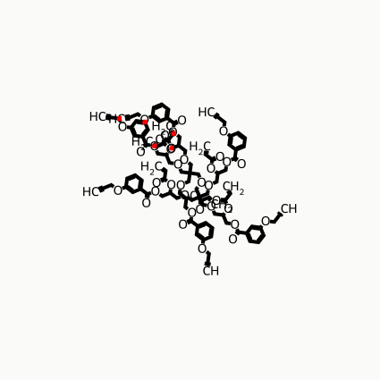 C#CCOc1cccc(C(=O)OCC(COCC(COCC(COC(=O)c2cccc(OCC#C)c2)OC(=O)C=C)(COCC(COC(=O)c2cccc(OCC#C)c2)OC(=O)C=C)COCC(COCC(COC(=O)c2cccc(OCC#C)c2)OC(=O)C=C)(COCC(COC(=O)c2cccc(OCC#C)c2)OC(=O)C=C)COCC(COC(=O)c2cccc(OCC#C)c2)OC(=O)C=C)OC(=O)C=C)c1